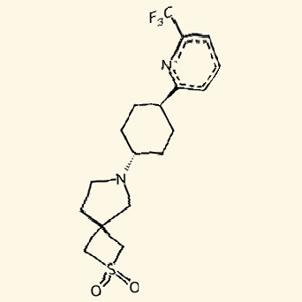 O=S1(=O)CC2(CCN([C@H]3CC[C@H](c4cccc(C(F)(F)F)n4)CC3)C2)C1